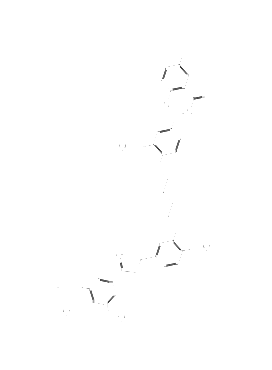 COc1cc([13CH]2NC(=O)c3cc(Cl)ccc3N2)ccc1OCCCCOc1cc(C2CC(c3cc(OC)c(OC)c(OC)c3)=NO2)ccc1OC